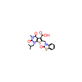 CC(C)Cn1c(=O)n(C)c(=O)c2c(C(=O)O)c(Cn3c(=O)sc4ccccc43)sc21